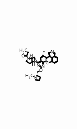 C=CC(=O)N1CC[C@@H]2[C@H]1CN2c1nc(OC[C@@H]2CCCN2C)nc2nc(-c3cncc4cccc(Cl)c34)c(F)cc12